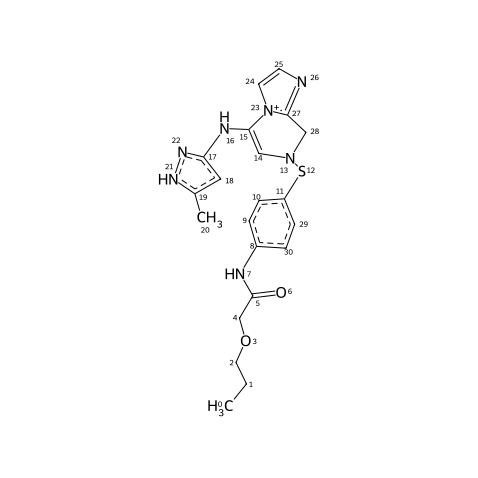 CCCOCC(=O)Nc1ccc(SN2C=C(Nc3cc(C)[nH]n3)[N+]3C=CN=C3C2)cc1